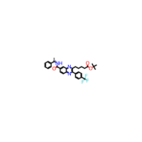 C[C@@H](NC(=O)c1ccc2nc(-c3ccc(C(F)(F)F)cc3)c(CCCCC(=O)OC(C)(C)C)nc2c1)c1ccccc1